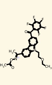 CCOCCn1c2ccc(C(=O)c3c(F)c(F)c(F)c(F)c3F)cc2c2cc(/C(C)=N/OC(C)=O)ccc21